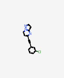 Clc1cccc(C#Cc2ccn3nccc3n2)c1